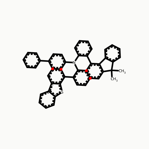 CC1(C)c2ccccc2-c2c(-c3ccccc3N(c3ccc(-c4ccccc4)cc3)c3ccccc3-c3cccc4c3sc3ccccc34)cccc21